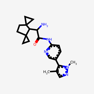 Cc1cnn(C)c1-c1ccc(NC(=O)C(N)C2C3(CC3)CCC23CC3)nc1